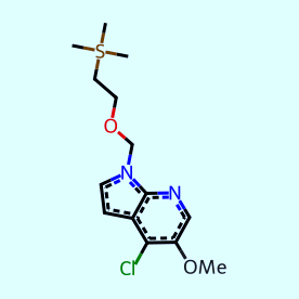 COc1cnc2c(ccn2COCCS(C)(C)C)c1Cl